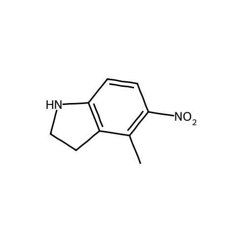 Cc1c([N+](=O)[O-])ccc2c1CCN2